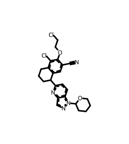 N#Cc1cc2c(c(Cl)c1OCCCl)CCCC2c1ccc2c(cnn2C2CCCCO2)n1